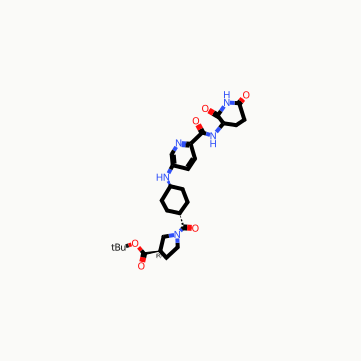 CC(C)(C)OC(=O)[C@@H]1CCN(C(=O)[C@H]2CC[C@H](Nc3ccc(C(=O)NC4CCC(=O)NC4=O)nc3)CC2)C1